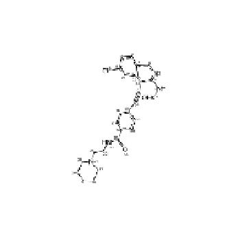 O=CNc1ncc2ccc(Cl)cc2c1C#Cc1ccc(C(=O)NCCN2CCCCC2)cc1